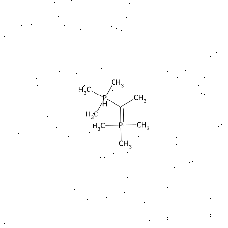 CC(=P(C)(C)C)[PH](C)(C)C